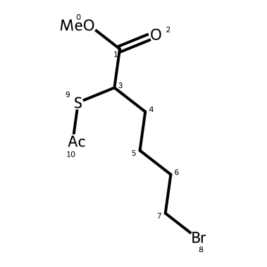 COC(=O)C(CCCCBr)SC(C)=O